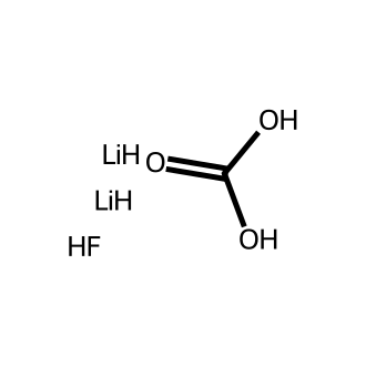 F.O=C(O)O.[LiH].[LiH]